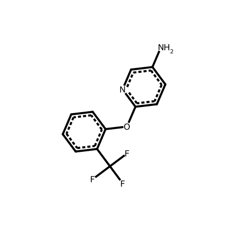 Nc1ccc(Oc2ccccc2C(F)(F)F)nc1